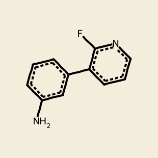 Nc1cccc(-c2cccnc2F)c1